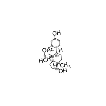 C#COC(C)=O.C[C@]12CC[C@@H]3c4ccc(O)cc4CC[C@H]3[C@@H]1CC[C@@H]2O